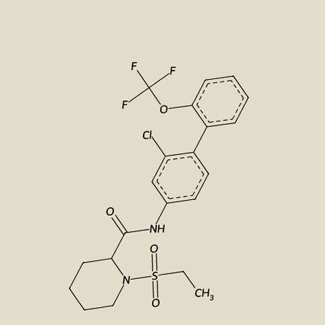 CCS(=O)(=O)N1CCCCC1C(=O)Nc1ccc(-c2ccccc2OC(F)(F)F)c(Cl)c1